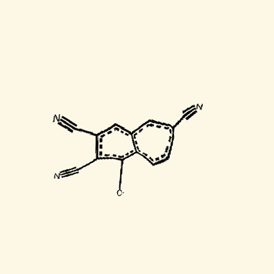 N#Cc1ccc2c([O])c(C#N)c(C#N)cc2c1